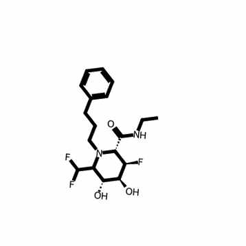 CCNC(=O)[C@@H]1[C@@H](F)[C@@H](O)[C@H](O)C(C(F)F)N1CCCc1ccccc1